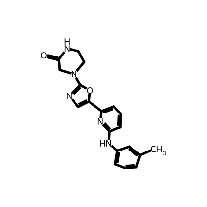 Cc1cccc(Nc2cccc(-c3cnc(N4CCNC(=O)C4)o3)n2)c1